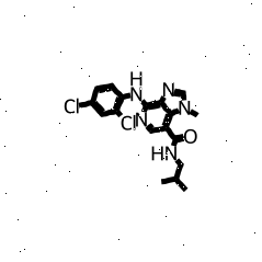 CC(C)CNC(=O)c1cnc(Nc2ccc(Cl)cc2Cl)c2ncn(C)c12